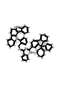 N/C(=N\C(=N/Cc1ccccc1-n1c2ccccc2c2ccc3[nH]c4ccccc4c3c21)c1ccccc1)c1ccc2c(c1)C(C1=CC=CCC=C1)(c1ccccc1)c1ccccc1-2